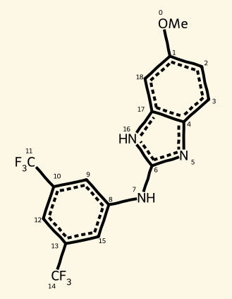 COc1ccc2nc(Nc3cc(C(F)(F)F)cc(C(F)(F)F)c3)[nH]c2c1